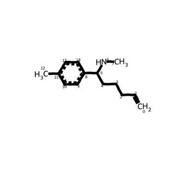 C=CCCCC(NC)c1ccc(C)cc1